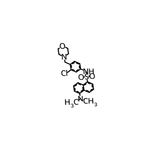 CN(C)c1cccc2c(S(=O)(=O)Nc3ccc(CN4CCOCC4)c(Cl)c3)cccc12